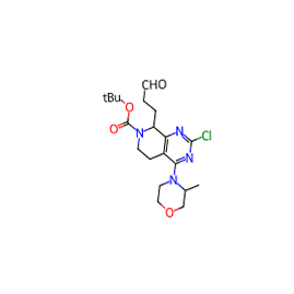 CC1COCCN1c1nc(Cl)nc2c1CCN(C(=O)OC(C)(C)C)C2CCC=O